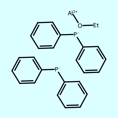 CC[O][Al+2].c1ccc([P-]c2ccccc2)cc1.c1ccc([P-]c2ccccc2)cc1